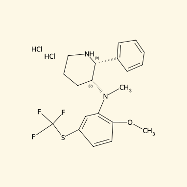 COc1ccc(SC(F)(F)F)cc1N(C)[C@@H]1CCCN[C@@H]1c1ccccc1.Cl.Cl